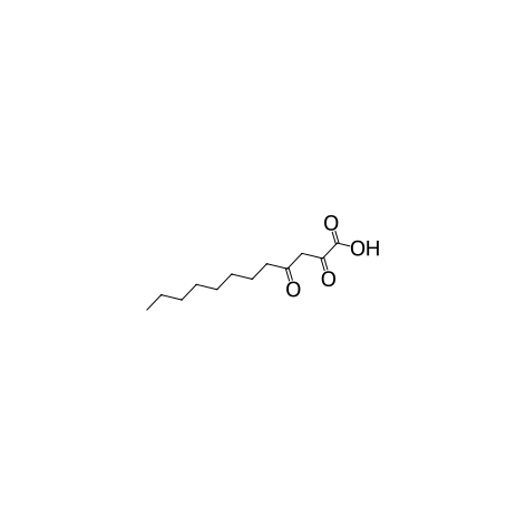 CCCCCCCCC(=O)CC(=O)C(=O)O